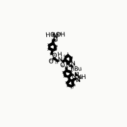 CCCCc1nc2cccc(C(=O)NCC(=O)OCc3ccc(CON(O)O)cc3)c2n1Cc1ccc(-c2ccccc2-c2nn[nH]n2)cc1